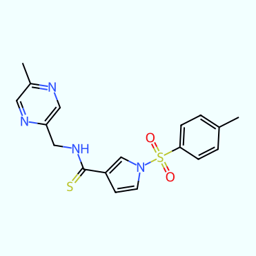 Cc1ccc(S(=O)(=O)n2ccc(C(=S)NCc3cnc(C)cn3)c2)cc1